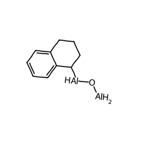 [AlH2][O][AlH][CH]1CCCc2ccccc21